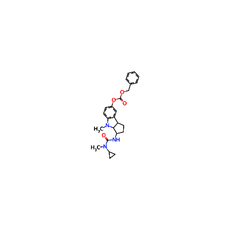 CN(C(=O)NC1CCC2c3cc(OC(=O)OCc4ccccc4)ccc3N(C)C12)C1CC1